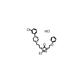 CCc1nn(CCOc2ccccc2)c(=O)n1CCCN1CCN(c2cccc(Cl)c2)CC1.Cl